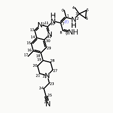 C/C(NC1(C)CC1)=C(/C=N)Nc1ncc2cc(C)c(C3CCN(CCC#N)CC3)cc2n1